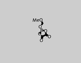 COCOB1OC(=O)C(=O)O1